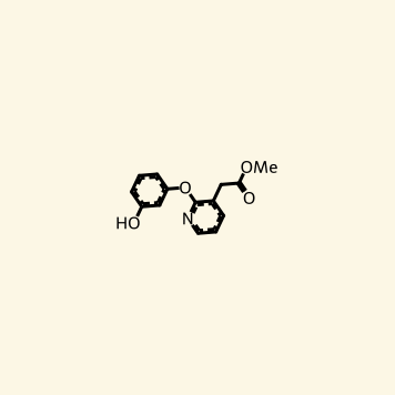 COC(=O)Cc1cccnc1Oc1cccc(O)c1